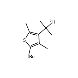 [2H]C(C)(C)c1c(C)sc(C(C)(C)C)c1C